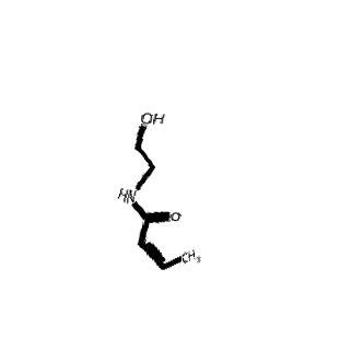 C/C=C\C(=O)NCCO